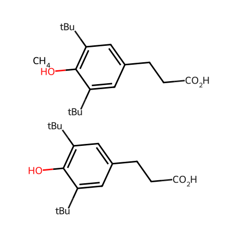 C.CC(C)(C)c1cc(CCC(=O)O)cc(C(C)(C)C)c1O.CC(C)(C)c1cc(CCC(=O)O)cc(C(C)(C)C)c1O